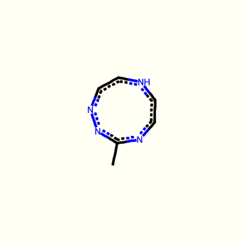 Cc1ncc[nH]ccnn1